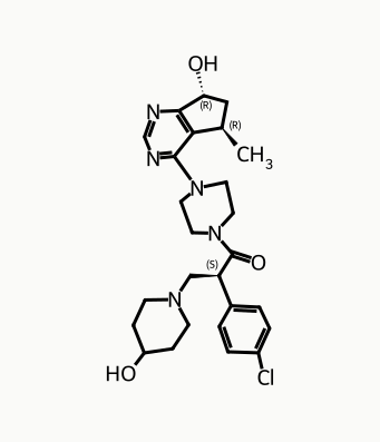 C[C@@H]1C[C@@H](O)c2ncnc(N3CCN(C(=O)[C@H](CN4CCC(O)CC4)c4ccc(Cl)cc4)CC3)c21